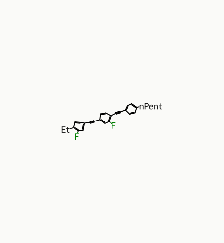 CCCCCc1ccc(C#Cc2ccc(C#Cc3ccc(CC)c(F)c3)cc2F)cc1